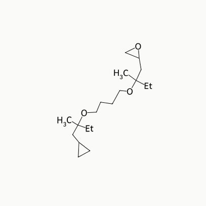 CCC(C)(CC1CC1)OCCCCOC(C)(CC)CC1CO1